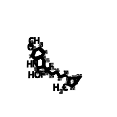 COc1ccc2c(c1)NC(O)C(C(F)(F)CCCC[C@H]1C(C)CC3CC31)=C2